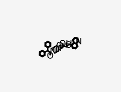 O=C(C(c1ccccc1)c1ccccc1)N1CC[N+]([O-])(CC(O)COc2cccc3ncccc23)CC1